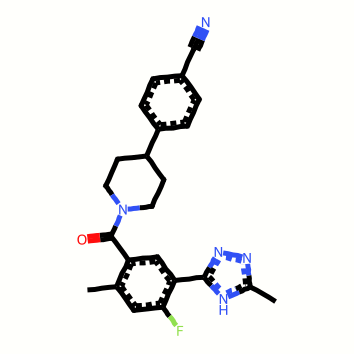 Cc1nnc(-c2cc(C(=O)N3CCC(c4ccc(C#N)cc4)CC3)c(C)cc2F)[nH]1